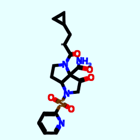 NC(=O)C12C(=O)CN(S(=O)(=O)c3ccccn3)C1CCN2C(=O)[CH]CC1CC1